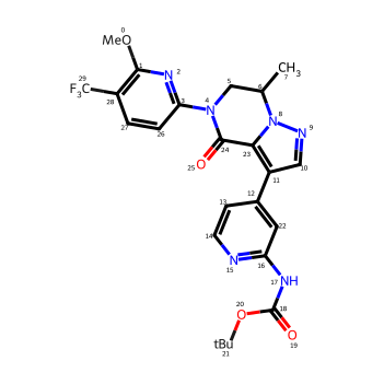 COc1nc(N2CC(C)n3ncc(-c4ccnc(NC(=O)OC(C)(C)C)c4)c3C2=O)ccc1C(F)(F)F